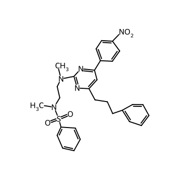 CN(CCN(C)S(=O)(=O)c1ccccc1)c1nc(CCCc2ccccc2)cc(-c2ccc([N+](=O)[O-])cc2)n1